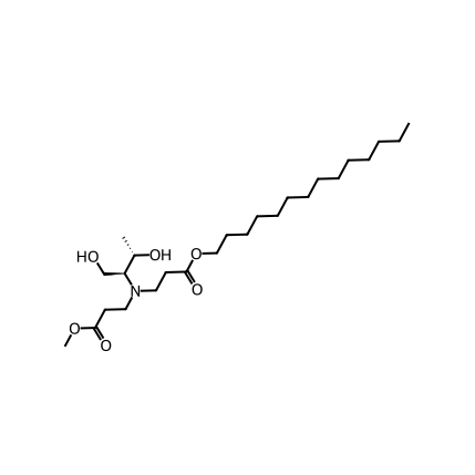 CCCCCCCCCCCCCCOC(=O)CCN(CCC(=O)OC)[C@@H](CO)[C@H](C)O